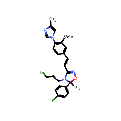 COc1cc(/C=C/C2=NOC(C)(c3ccc(Cl)cc3)N2CCCCl)ccc1-n1cnc(C)c1